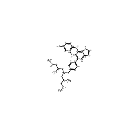 CC(C)OCC(O)CN(Cc1ccc(-c2nc(Oc3ccc(F)cc3F)c3sccc3n2)cc1)CC(O)COC(C)C